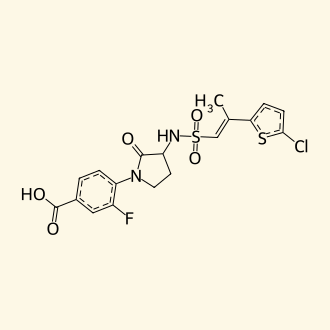 C/C(=C\S(=O)(=O)NC1CCN(c2ccc(C(=O)O)cc2F)C1=O)c1ccc(Cl)s1